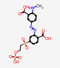 CNc1ccc(/N=N/c2cc(S(=O)(=O)CCOS(=O)(=O)O)ccc2C(=O)O)cc1C(=O)O